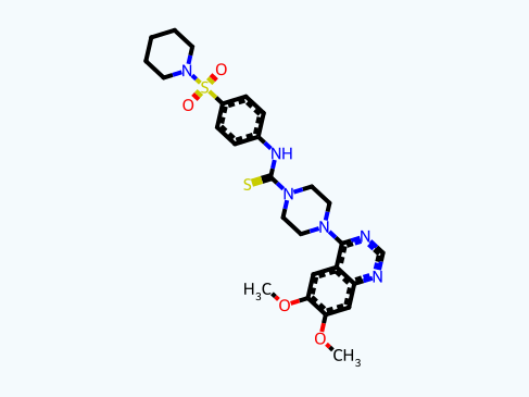 COc1cc2ncnc(N3CCN(C(=S)Nc4ccc(S(=O)(=O)N5CCCCC5)cc4)CC3)c2cc1OC